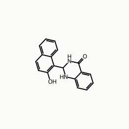 O=C1NC(c2c(O)ccc3ccccc23)Nc2ccccc21